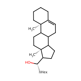 CCCCCC[C@H](O)C1CCC2C3CC=C4CCCC[C@]4(C)C3CC[C@@]21C